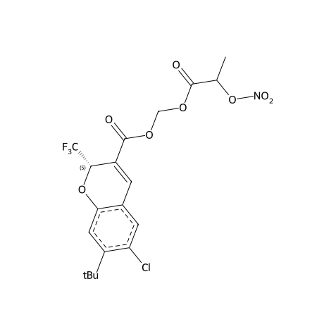 CC(O[N+](=O)[O-])C(=O)OCOC(=O)C1=Cc2cc(Cl)c(C(C)(C)C)cc2O[C@@H]1C(F)(F)F